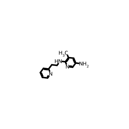 Cc1cc(N)cnc1NCCc1ccccn1